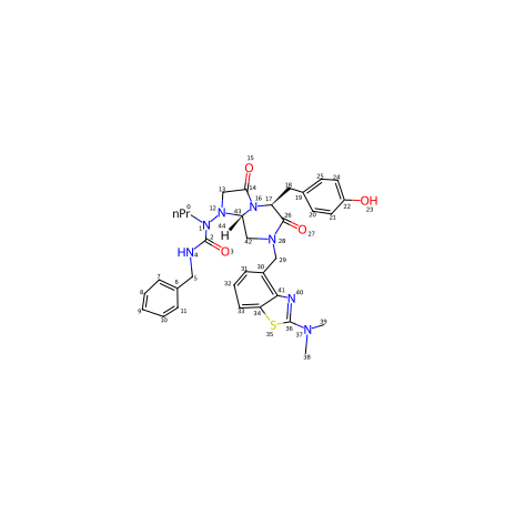 CCCN(C(=O)NCc1ccccc1)N1CC(=O)N2[C@@H](Cc3ccc(O)cc3)C(=O)N(Cc3cccc4sc(N(C)C)nc34)C[C@@H]21